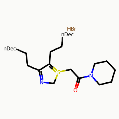 Br.CCCCCCCCCCCCC1=NCS(CC(=O)N2CCCCC2)=C1CCCCCCCCCCCC